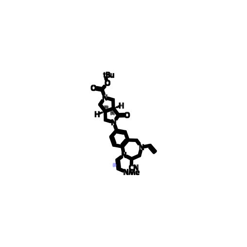 C=CN1Cc2cc(N3C[C@H]4CN(C(=O)OC(C)(C)C)C[C@H]4C3=O)ccc2N(/C=C\NC)C(C#N)C1